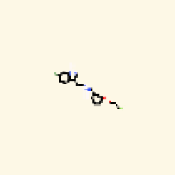 FCCCOc1cccc(CNCCc2c[nH]c3cc(Cl)ccc23)c1